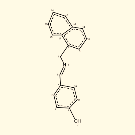 Oc1ccc(C=NCc2cccc3ccccc23)cc1